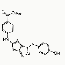 COC(=O)c1ccc(Nc2nn3c(Cc4ccc(O)cc4)nnc3s2)cc1